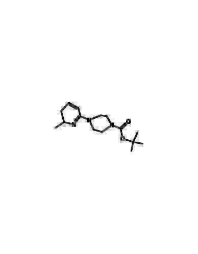 CC1CC=CC(N2CCN(C(=O)OC(C)(C)C)CC2)=N1